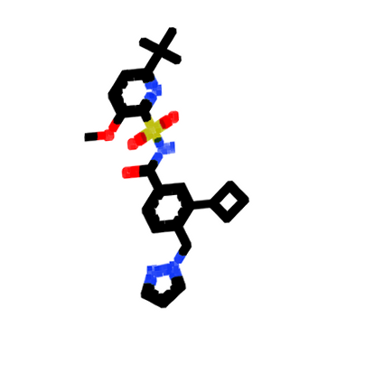 COc1ccc(C(C)(C)C)nc1S(=O)(=O)NC(=O)c1ccc(Cn2cccn2)c(C2CCC2)c1